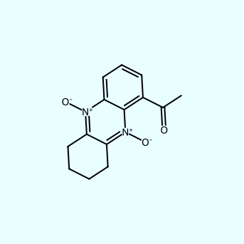 CC(=O)c1cccc2c1[n+]([O-])c1c([n+]2[O-])CCCC1